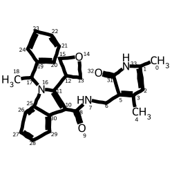 Cc1cc(C)c(CNC(=O)c2c(C3COC3)n(C(C)c3ccccc3)c3ccccc23)c(=O)[nH]1